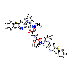 CN(CC1CC2CC2N1c1cncc(Sc2ccccc2)c1)OC(=O)/C=C/C(=O)ON(C)CC1CC2CC2N1c1cncc(Sc2ccccc2)c1